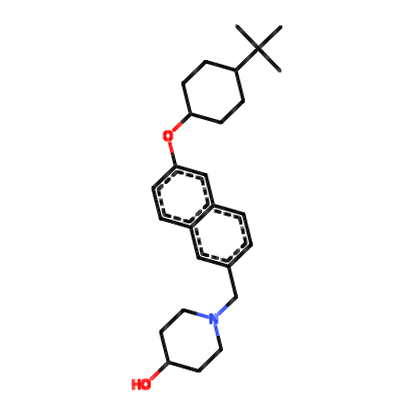 CC(C)(C)C1CCC(Oc2ccc3cc(CN4CCC(O)CC4)ccc3c2)CC1